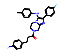 Cc1ccc(Nc2c(-c3ccc(F)cc3)nc3n2CCN(C(=O)CCc2ccc(N)cc2)C3)cc1